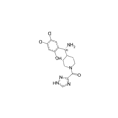 N[C@@H](c1cc(Cl)c(Cl)cc1O)C1CCN(C(=O)c2nc[nH]n2)CC1